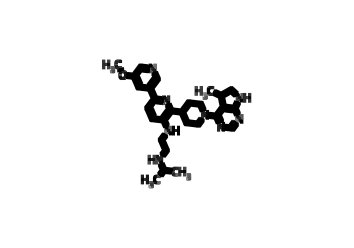 COc1cncc(-c2ccc(NCCNC(C)C)c(C3CCN(c4ncnc5c4C(C)CN5)CC3)n2)c1